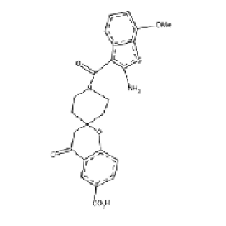 COc1cccc2c(C(=O)N3CCC4(CC3)CC(=O)c3cc(C(=O)O)ccc3O4)c(N)sc12